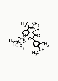 CNc1ccc(C(=O)C(=O)CN[C@H](C)C(C)C2CCN(C(=O)OC(C)(C)C)CC2)cc1C